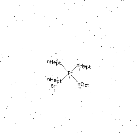 CCCCCCCC[P+](CCCCCCC)(CCCCCCC)CCCCCCC.[Br-]